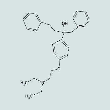 CCN(CC)CCOc1ccc(C(O)(CCc2ccccc2)Cc2ccccc2)cc1